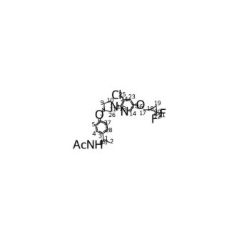 CC(=O)N[C@@H](C)c1ccc(OC2CCN(c3ncc(OCC4CC4(F)F)cc3Cl)C2)cc1